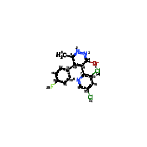 Cc1nnc(Br)c(-c2ncc(Cl)cc2Cl)c1-c1ccc(F)cc1